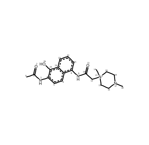 CC(=O)Nc1ccc2c(NC(=O)C[N+]3(C)CCN(C)CC3)cccc2c1O